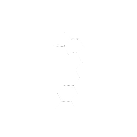 CCOC(=O)c1cnc(NCCc2ccc(Cl)c(Cl)c2)[nH]c1=O